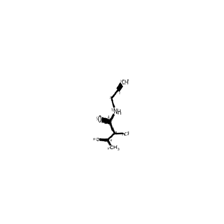 C#CCNC(=O)C(Cl)C(C)=O